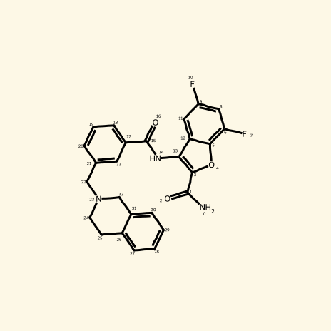 NC(=O)c1oc2c(F)cc(F)cc2c1NC(=O)c1cccc(CN2CCc3ccccc3C2)c1